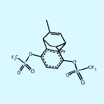 CC1=CC2c3c(OS(=O)(=O)C(F)(F)F)ccc(OS(=O)(=O)C(F)(F)F)c3C1CC2C(C)C